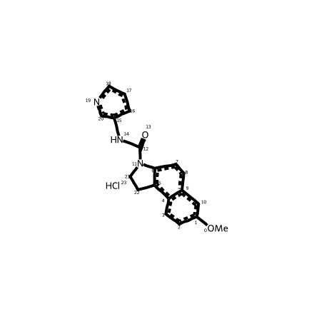 COc1ccc2c3c(ccc2c1)N(C(=O)Nc1cccnc1)CC3.Cl